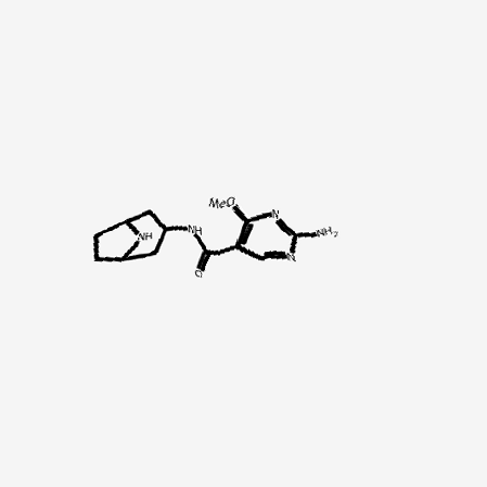 COc1nc(N)ncc1C(=O)NC1CC2CCC(C1)N2